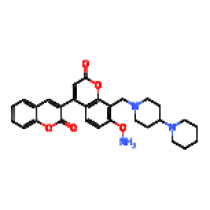 NOc1ccc2c(-c3cc4ccccc4oc3=O)cc(=O)oc2c1CN1CCC(N2CCCCC2)CC1